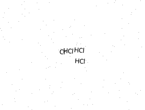 Cl.Cl.Cl.[Cr]